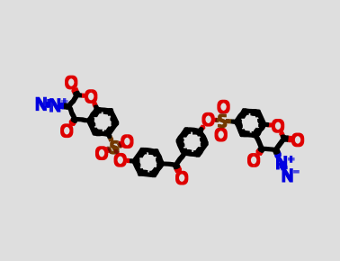 [N-]=[N+]=C1C(=O)Oc2ccc(S(=O)(=O)Oc3ccc(C(=O)c4ccc(OS(=O)(=O)c5ccc6c(c5)C(=O)C(=[N+]=[N-])C(=O)O6)cc4)cc3)cc2C1=O